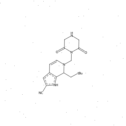 CC(C)(C)CC1c2[nH]c(C#N)cc2C=CN1CN1C(=O)CNCC1=O